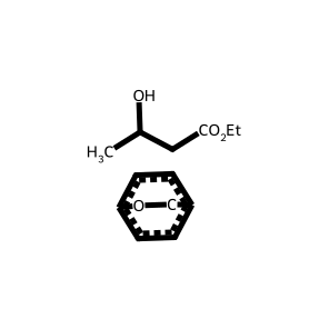 CCOC(=O)CC(C)O.c1cc2ccc1CO2